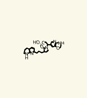 O=C(O)CC(c1cnc2c(c1)OCCN2)N1CCC(CCCc2ccc3c(n2)NCCC3)C1=O